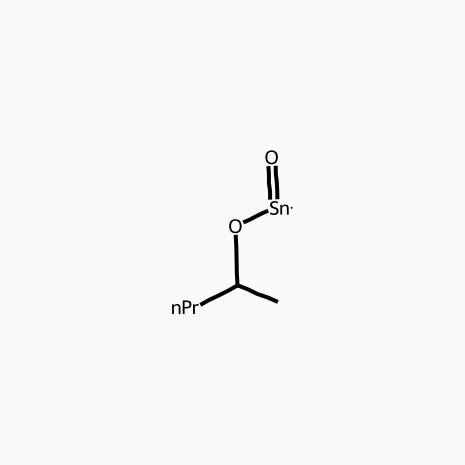 CCCC(C)[O][Sn]=[O]